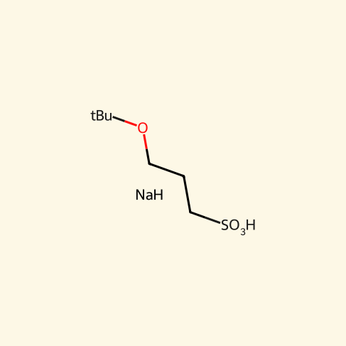 CC(C)(C)OCCCS(=O)(=O)O.[NaH]